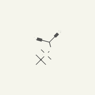 CC(C)(C)[Si](C)(C)OC(C#N)C#N